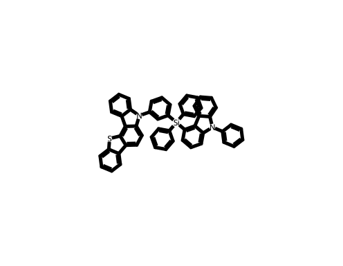 c1ccc(-n2c3ccccc3c3c([Si](c4ccccc4)(c4ccccc4)c4cccc(-n5c6ccccc6c6c7sc8ccccc8c7ccc65)c4)cccc32)cc1